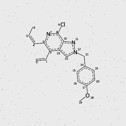 C=Cc1c(/C=C\C)nc(Cl)c2nn(Cc3ccc(OC)cc3)cc12